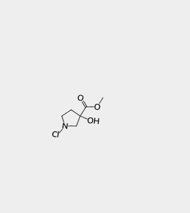 COC(=O)C1(O)CCN(Cl)C1